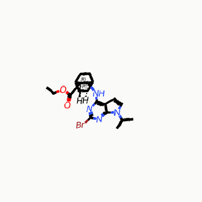 CCOC(=O)[C@@H]1C2CCC(CC2)[C@H]1Nc1nc(Br)nc2c1ccn2C(C)C